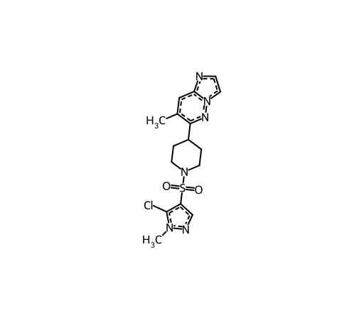 Cc1cc2nccn2nc1C1CCN(S(=O)(=O)c2cnn(C)c2Cl)CC1